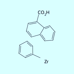 Cc1ccccc1.O=C(O)c1cccc2ccccc12.[Zr]